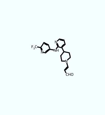 O=CC=CN1CCC(c2cccnc2Nc2ccc(C(F)(F)F)nc2)CC1